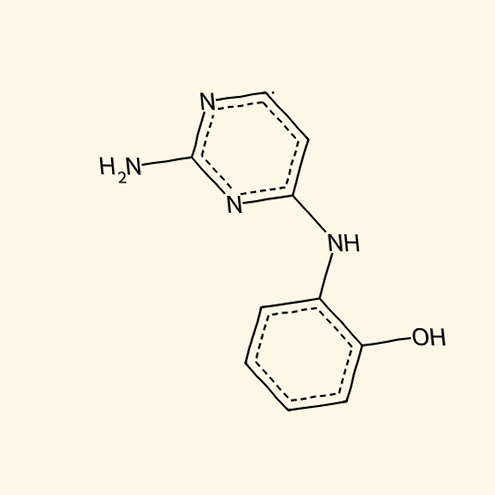 Nc1n[c]cc(Nc2ccccc2O)n1